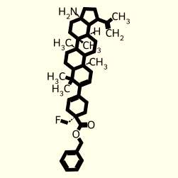 C=C(C)C1CC[C@]2(N)CC[C@]3(C)[C@H](CCC4[C@@]5(C)CC=C(C6=CC[C@](CF)(C(=O)OCc7ccccc7)CC6)C(C)(C)C5CC[C@]43C)C12